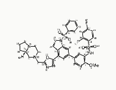 COc1ncc(-c2cc(-c3nnc(CN4CCN5CCC[C@H]5C4)o3)c3cnn(S(=O)(=O)c4ccccc4)c3c2)cc1NS(=O)(=O)c1ccc(F)cc1F